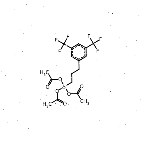 CC(=O)O[Si](CCCc1cc(C(F)(F)F)cc(C(F)(F)F)c1)(OC(C)=O)OC(C)=O